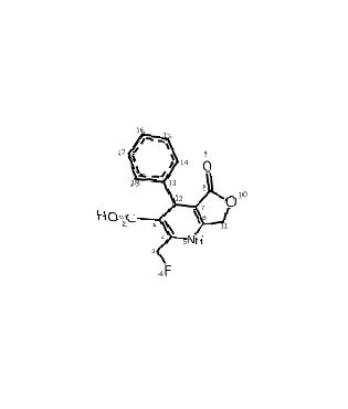 O=C(O)C1=C(CF)NC2=C(C(=O)OC2)C1c1ccccc1